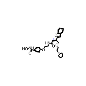 O=C(/C=C(\COCCN1CCCC1)c1cc2ccccc2o1)NCCOc1ccc(C(=O)NO)cc1